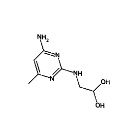 Cc1cc(N)nc(NCC(O)O)n1